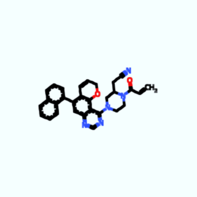 C=CC(=O)N1CCN(c2ncnc3cc(-c4cccc5ccccc45)c4c(c23)OCC=C4)CC1CC#N